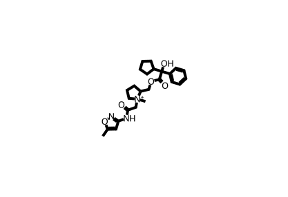 Cc1cc(NC(=O)C[N+]2(C)CCCC2COC(=O)C(O)(c2ccccc2)C2CCCC2)no1